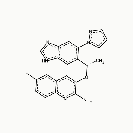 C[C@H](Oc1cc2cc(F)ccc2nc1N)c1cc2[nH]cnc2cc1-n1cccn1